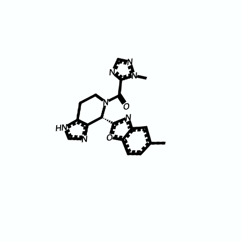 Cc1ccc2oc([C@@H]3c4nc[nH]c4CCN3C(=O)c3ncnn3C)nc2c1